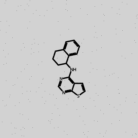 c1ccc2c(c1)CCCC2Nc1ncnc2sccc12